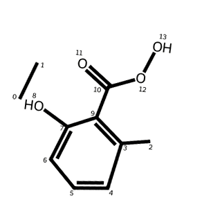 CC.Cc1cccc(O)c1C(=O)OO